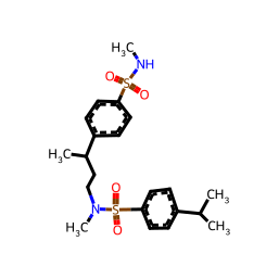 CNS(=O)(=O)c1ccc(C(C)CCN(C)S(=O)(=O)c2ccc(C(C)C)cc2)cc1